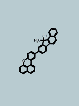 CC1(C)c2cc(-c3ccc4c(c3)-c3cccc5cccc(c35)O4)ccc2-c2ccc3ccccc3c21